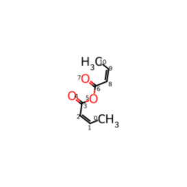 C/C=C\C(=O)OC(=O)/C=C\C